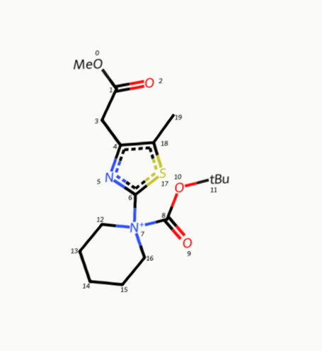 COC(=O)Cc1nc([N+]2(C(=O)OC(C)(C)C)CCCCC2)sc1C